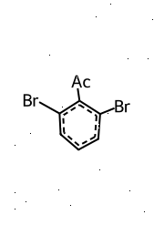 CC(=O)c1c(Br)cccc1Br